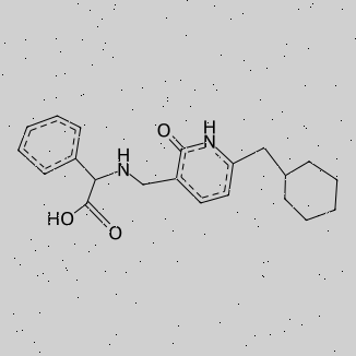 O=C(O)C(NCc1ccc(CC2CCCCC2)[nH]c1=O)c1ccccc1